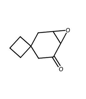 O=C1CC2(CCC2)CC2OC12